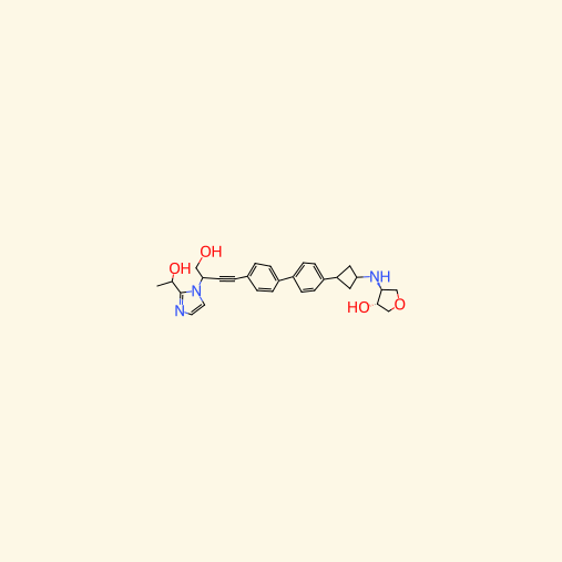 CC(O)c1nccn1C(C#Cc1ccc(-c2ccc(C3CC(N[C@H]4COC[C@@H]4O)C3)cc2)cc1)CO